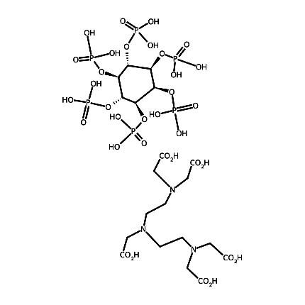 O=C(O)CN(CCN(CC(=O)O)CC(=O)O)CCN(CC(=O)O)CC(=O)O.O=P(O)(O)O[C@H]1[C@H](OP(=O)(O)O)[C@@H](OP(=O)(O)O)[C@H](OP(=O)(O)O)[C@@H](OP(=O)(O)O)[C@H]1OP(=O)(O)O